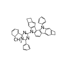 CC1CC=CC=C1c1nc(-c2ccccc2)nc(-n2c3cc4c(cc3c3c2ccc2c5cc6c(cc5n(-c5ccccc5)c23)CC6)CC4)n1